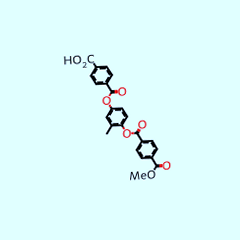 COC(=O)c1ccc(C(=O)Oc2ccc(OC(=O)c3ccc(C(=O)O)cc3)cc2C)cc1